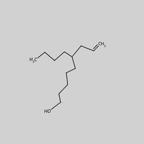 C=CCC(CCCC)CCCC[CH]O